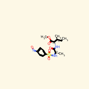 CC[C@H](C)[C@H](NC(=O)[C@H](C)NS(=O)(=O)c1ccc(N=O)cc1)C(=O)OC